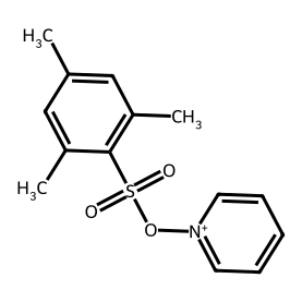 Cc1cc(C)c(S(=O)(=O)O[n+]2ccccc2)c(C)c1